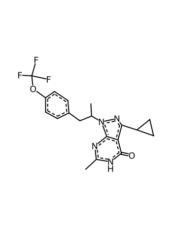 Cc1nc2c(c(C3CC3)nn2C(C)Cc2ccc(OC(F)(F)F)cc2)c(=O)[nH]1